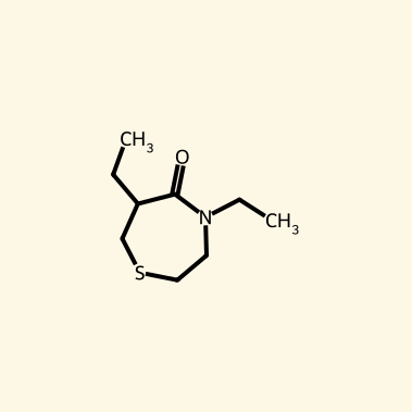 CCC1CSCCN(CC)C1=O